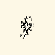 CC[O][Sn]([O]CC)([C](F)(F)CCC(F)(F)F)[C](F)(F)CCC(F)(F)F